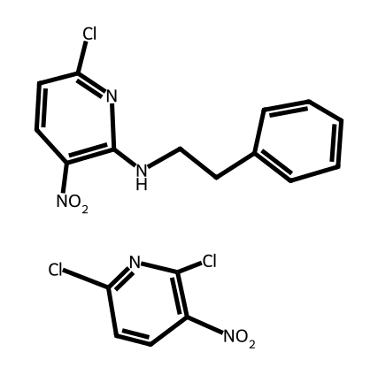 O=[N+]([O-])c1ccc(Cl)nc1Cl.O=[N+]([O-])c1ccc(Cl)nc1NCCc1ccccc1